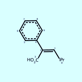 CC(C)C=C(C(=O)O)c1ccccc1